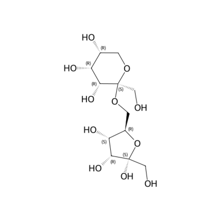 OC[C@@]1(OC[C@H]2O[C@@](O)(CO)[C@H](O)[C@@H]2O)OC[C@@H](O)[C@@H](O)[C@H]1O